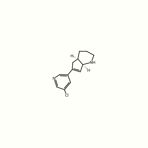 Clc1cncc(C2=C[C@@H]3NCCC[C@@H]3C2)c1